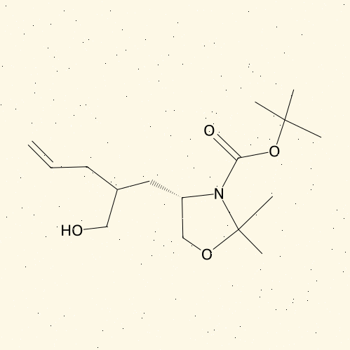 C=CCC(CO)C[C@H]1COC(C)(C)N1C(=O)OC(C)(C)C